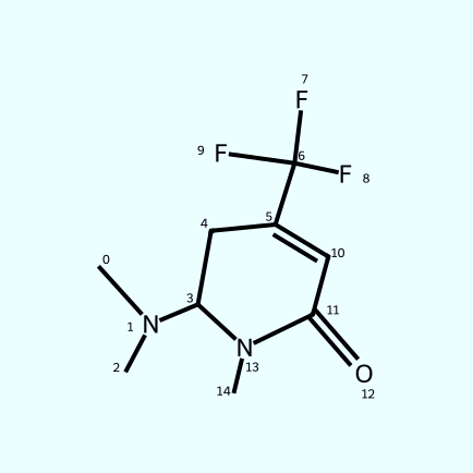 CN(C)C1CC(C(F)(F)F)=CC(=O)N1C